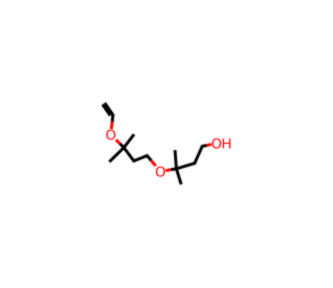 C=COC(C)(C)CCOC(C)(C)CCO